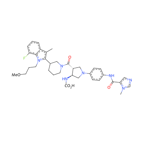 COCCCn1c(C2CCCN(C(=O)[C@@H]3CN(c4ccc(NC(=O)c5cncn5C)cc4)C[C@H]3NC(=O)O)C2)c(C)c2cccc(F)c21